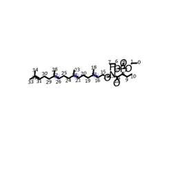 CCOP(=O)(OCC)C(CC)C(=O)NOC/C=C(\C)CC/C=C(\C)CC/C=C(\C)CCC=C(C)C